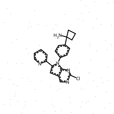 NC1(c2ccc(-n3c(-c4ccccn4)cc4cnc(Cl)nc43)cc2)CCC1